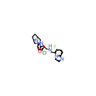 O=C(CCNCc1c(F)ccc2nccn12)N1CC2CCC(C1)N2c1ccc(Cl)cn1